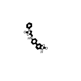 O=C1OC(CNC2CCC(c3ccc4[nH]c(=O)oc4c3)CC2)CN1c1ccccc1